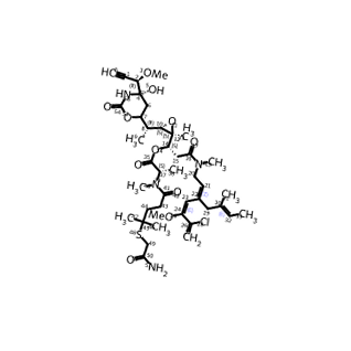 C#C[C@@H](OC)[C@@]1(O)CC([C@@H](C)[C@@H]2O[C@@]2(C)[C@H](CC(=O)N(C)C/C=C(\C=C(\OC)C(=C)Cl)C/C(C)=C/C)OC(=O)[C@H](C)N(C)C(=O)CCC(C)(C)SCC(N)=O)OC(=O)N1